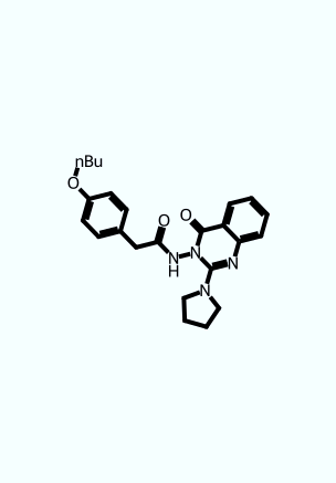 CCCCOc1ccc(CC(=O)Nn2c(N3CCCC3)nc3ccccc3c2=O)cc1